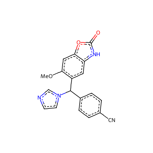 COc1cc2oc(=O)[nH]c2cc1C(c1ccc(C#N)cc1)n1ccnc1